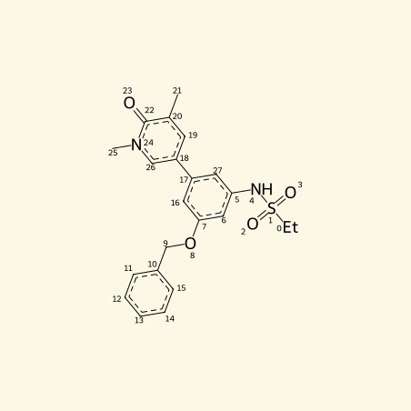 CCS(=O)(=O)Nc1cc(OCc2ccccc2)cc(-c2cc(C)c(=O)n(C)c2)c1